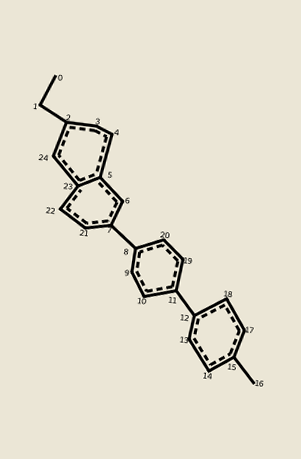 CCc1ccc2cc(-c3ccc(-c4ccc(C)cc4)cc3)ccc2c1